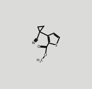 COC(=O)c1sccc1C1(C#N)CC1